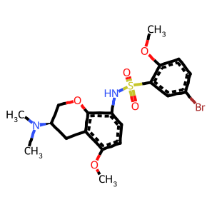 COc1ccc(Br)cc1S(=O)(=O)Nc1ccc(OC)c2c1OC[C@H](N(C)C)C2